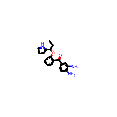 CCC(Oc1ccccc1C(=O)c1ccc(N)c(N)c1)c1ccc[nH]1